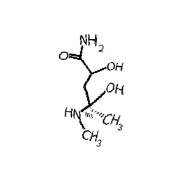 CN[C@](C)(O)CC(O)C(N)=O